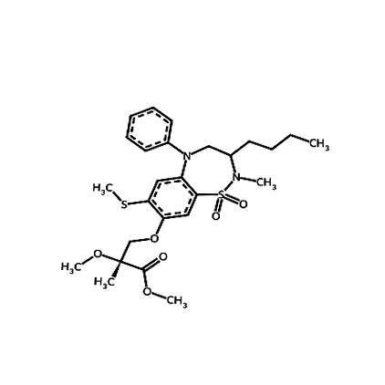 CCCCC1CN(c2ccccc2)c2cc(SC)c(OC[C@@](C)(OC)C(=O)OC)cc2S(=O)(=O)N1C